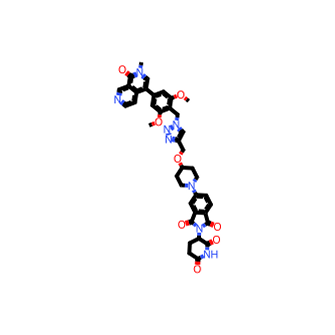 COc1cc(-c2cn(C)c(=O)c3cnccc23)cc(OC)c1Cn1cc(COC2CCN(c3ccc4c(c3)C(=O)N(C3CCC(=O)NC3=O)C4=O)CC2)nn1